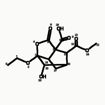 CCOC12OC(=O)C3(C(=O)O)C(C(=O)OC)C(CC13)C2O